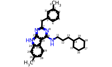 Cc1cccc(Cc2nc(NCCCC3CCCCC3)c3c(n2)[nH]c2cc(C)ccc23)c1